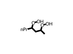 CCCC(CC(C)OO)OO